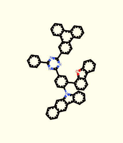 c1ccc(-c2nc(-c3ccc(-n4c5ccccc5c5cc6ccccc6cc54)c(-c4cccc5c4oc4ccccc45)c3)nc(-c3ccc4c5ccccc5c5ccccc5c4c3)n2)cc1